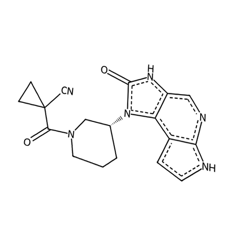 N#CC1(C(=O)N2CCC[C@@H](n3c(=O)[nH]c4cnc5[nH]ccc5c43)C2)CC1